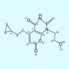 C=C1NC(=O)c2c(CCC3CC3)cc(=O)oc2N1CCOC